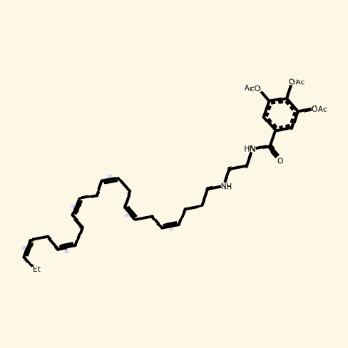 CC/C=C\C/C=C\C/C=C\C/C=C\C/C=C\C/C=C\CCCNCCNC(=O)c1cc(OC(C)=O)c(OC(C)=O)c(OC(C)=O)c1